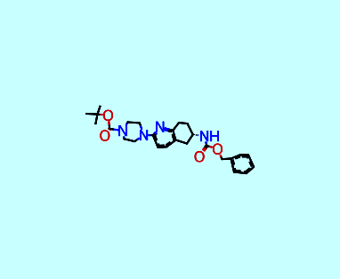 CC(C)(C)OC(=O)N1CCN(c2ccc3c(n2)CC[C@H](NC(=O)OCc2ccccc2)C3)CC1